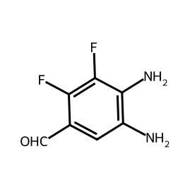 Nc1cc(C=O)c(F)c(F)c1N